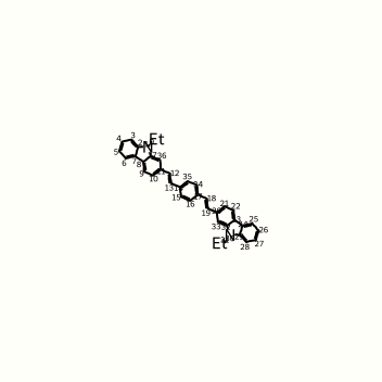 CCn1c2ccccc2c2ccc(C=Cc3ccc(C=Cc4ccc5c6ccccc6n(CC)c5c4)cc3)cc21